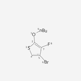 CCCCOc1scc(Br)c1F